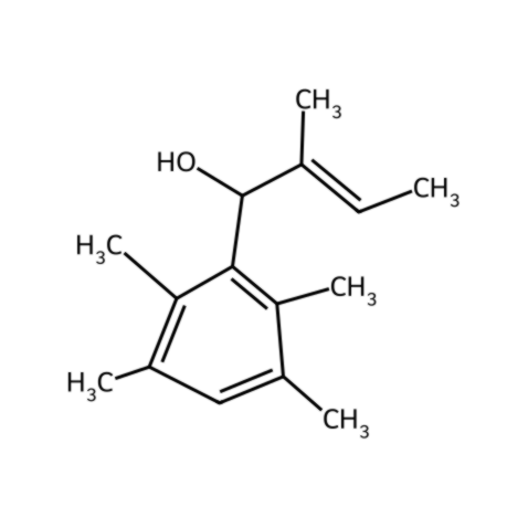 CC=C(C)C(O)c1c(C)c(C)cc(C)c1C